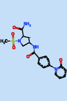 CS(=O)(=O)N1CC(NC(=O)c2ccc(-n3ccccc3=O)cc2)[CH]C1C(N)=O